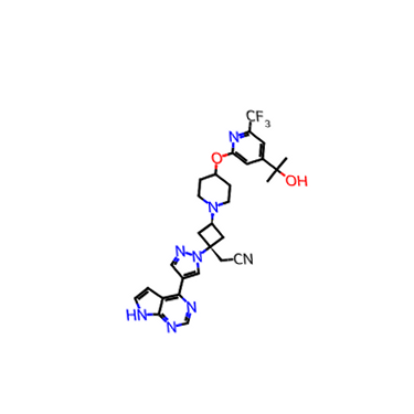 CC(C)(O)c1cc(OC2CCN([C@H]3C[C@](CC#N)(n4cc(-c5ncnc6[nH]ccc56)cn4)C3)CC2)nc(C(F)(F)F)c1